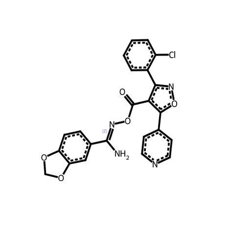 N/C(=N\OC(=O)c1c(-c2ccccc2Cl)noc1-c1ccncc1)c1ccc2c(c1)OCO2